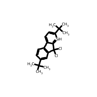 CC(C)(C)c1ccc2c(c1)C(Cl)(Cl)c1[siH]c(C(C)(C)C)ccc1-2